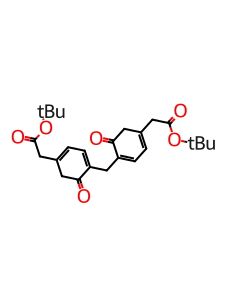 CC(C)(C)OC(=O)CC1=CC=C(CC2=CC=C(CC(=O)OC(C)(C)C)CC2=O)C(=O)C1